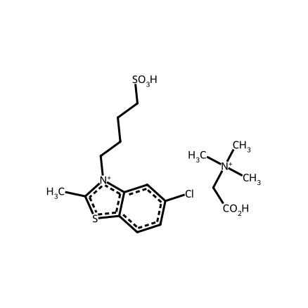 C[N+](C)(C)CC(=O)O.Cc1sc2ccc(Cl)cc2[n+]1CCCCS(=O)(=O)O